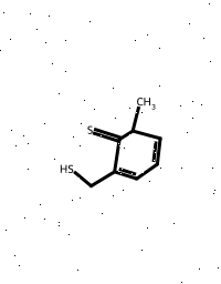 CC1C=CC=C(CS)C1=S